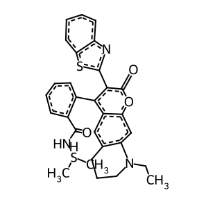 CCN1CCCc2cc3c(-c4ccccc4C(=O)N[SH](C)C)c(-c4nc5ccccc5s4)c(=O)oc3cc21